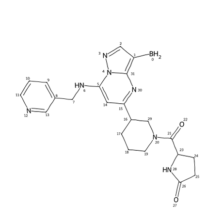 Bc1cnn2c(NCc3cccnc3)cc(C3CCCN(C(=O)C4CCC(=O)N4)C3)nc12